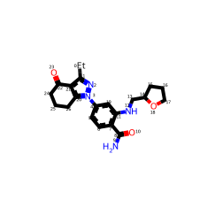 CCc1nn(-c2ccc(C(N)=O)c(NCC3CCCO3)c2)c2c1C(=O)CCC2